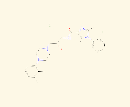 Cc1cccc(N2CCN(CC(O)CNC(=O)c3nc(C)n(-c4ccccc4Cl)c3C)CC2)c1C.Cl.Cl